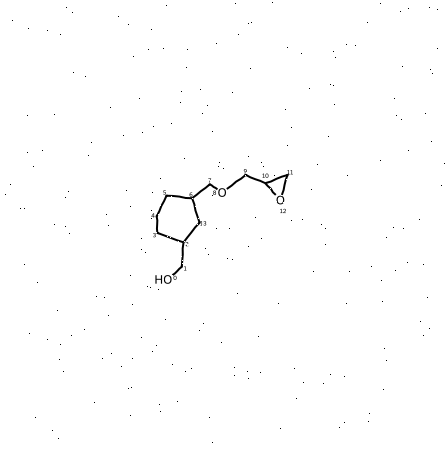 OCC1CCCC(COCC2CO2)C1